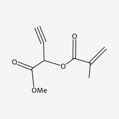 C#CC(OC(=O)C(=C)C)C(=O)OC